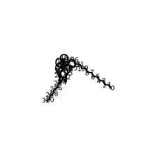 CCCCCCCCCCCCc1ccc([S](=O)(=O)[SnH]2[O]CCN(CCCCCCCC)CC[O]2)cc1